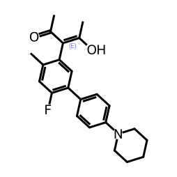 CC(=O)/C(=C(\C)O)c1cc(-c2ccc(N3CCCCC3)cc2)c(F)cc1C